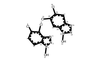 On1nnc2c(Cl)c(Cl)ccc21.On1nnc2cc(Cl)c(Cl)cc21